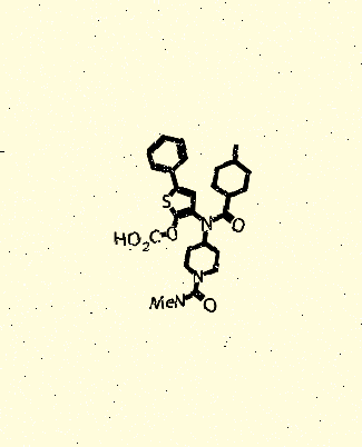 CNC(=O)N1CCC(N(C(=O)C2CCC(C)CC2)c2cc(-c3ccccc3)sc2OC(=O)O)CC1